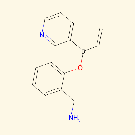 C=CB(Oc1ccccc1CN)c1cccnc1